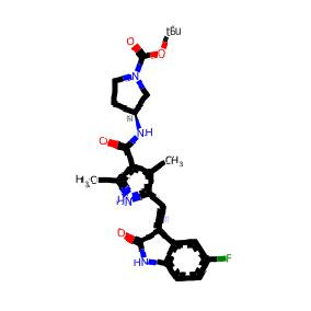 Cc1[nH]c(/C=C2\C(=O)Nc3ccc(F)cc32)c(C)c1C(=O)N[C@H]1CCN(C(=O)OC(C)(C)C)C1